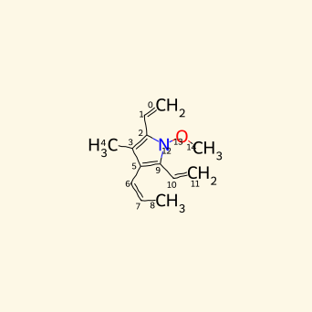 C=Cc1c(C)c(/C=C\C)c(C=C)n1OC